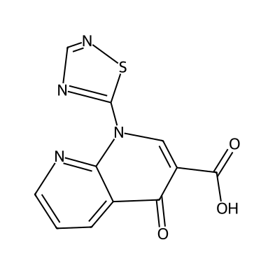 O=C(O)c1cn(-c2ncns2)c2ncccc2c1=O